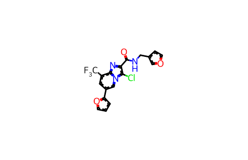 O=C(NCc1ccoc1)c1nc2c(C(F)(F)F)cc(-c3ccco3)cn2c1Cl